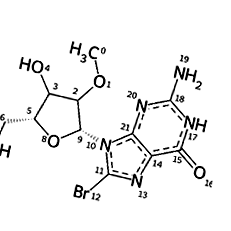 COC1C(O)[C@@H](CO)O[C@H]1n1c(Br)nc2c(=O)[nH]c(N)nc21